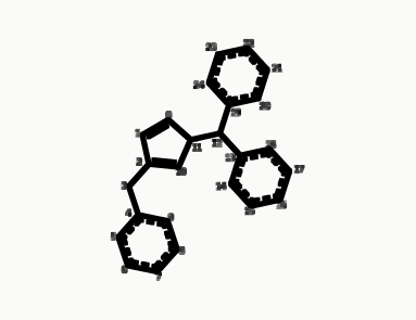 C1=CC(Cc2ccccc2)=C[C]1C(c1ccccc1)c1ccccc1